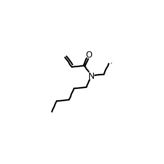 [CH2]CN(CCCCC)C(=O)C=C